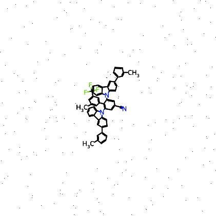 Cc1cccc(-c2ccc3c(c2)c2ccccc2n3-c2cc(C#N)cc(-n3c4ccccc4c4cc(-c5cccc(C)c5)ccc43)c2-c2cc(C)cc(C(F)(F)F)c2)c1